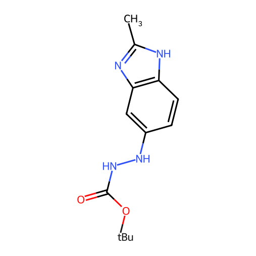 Cc1nc2cc(NNC(=O)OC(C)(C)C)ccc2[nH]1